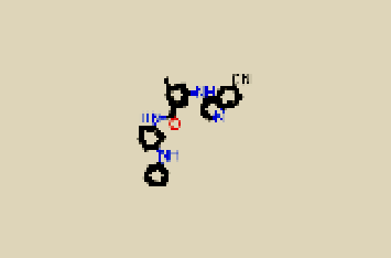 Cc1cc(Nc2ccnc3ccc(C#N)cc23)cc(C(=O)Nc2cccc(Nc3ccccc3)c2)c1